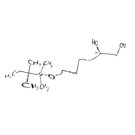 CC(C)(C)[Si](C)(C)OCCCC[C@@H](O)CO